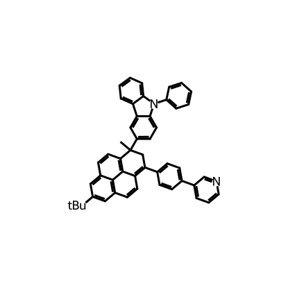 CC(C)(C)c1cc2ccc3c4c(ccc(c1)c24)=C(c1ccc(-c2cccnc2)cc1)CC3(C)c1ccc2c(c1)c1ccccc1n2-c1ccccc1